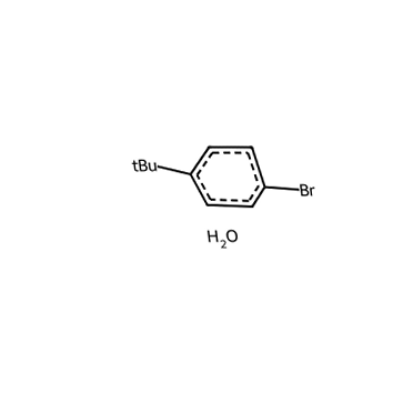 CC(C)(C)c1ccc(Br)cc1.O